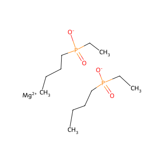 CCCCP(=O)([O-])CC.CCCCP(=O)([O-])CC.[Mg+2]